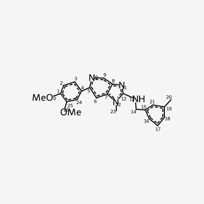 COc1ccc(-c2cc3c(cn2)nc(NCc2cccc(C)c2)n3C)cc1OC